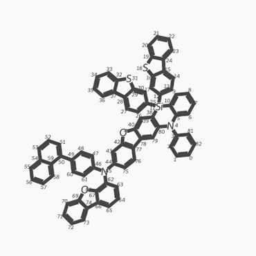 c1ccc(N2c3ccccc3[Si](c3ccc4c(c3)sc3ccccc34)(c3ccc4c(c3)sc3ccccc34)c3cc4oc5cc(N(c6ccc(-c7cccc8ccccc78)cc6)c6cccc7c6oc6ccccc67)ccc5c4cc32)cc1